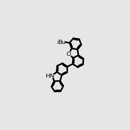 CCC(C)c1cccc2c1oc1c(-c3ccc4[nH]c5ccccc5c4c3)cccc12